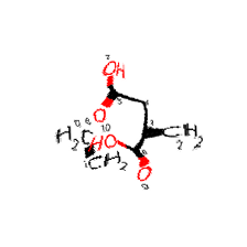 C=C.C=C(CC(=O)O)C(=O)O